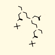 CCN(CCN(CCN(CC)CC(=O)OC(C)(C)C)CC(=O)O)CC(=O)OC(C)(C)C